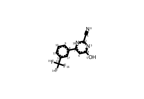 N#Cc1nc(O)cc(-c2cccc(C(F)(F)F)c2)n1